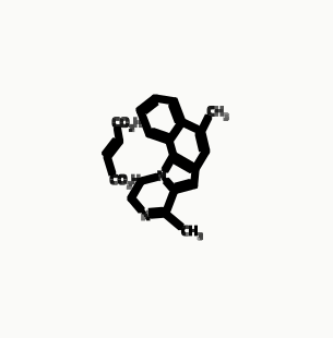 CC1=NCCn2c1cc1cc(C)c3ccccc3c12.O=C(O)C=CC(=O)O